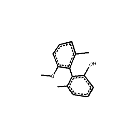 COc1cccc(C)c1-c1c(C)cccc1O